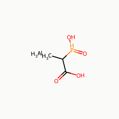 CC(C(=O)O)[PH](=O)O.[AlH3]